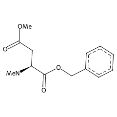 CN[C@@H](CC(=O)OC)C(=O)OCc1ccccc1